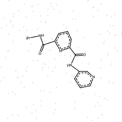 CC(C)NC(=O)c1cccc(C(=O)Nc2cccnc2)n1